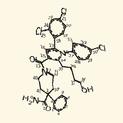 NC(=O)C1(c2ccccc2)CCN(C(=O)c2cc(-c3ccc(Cl)cc3Cl)n(-c3ccc(Cl)cc3)c2CCCCO)CC1